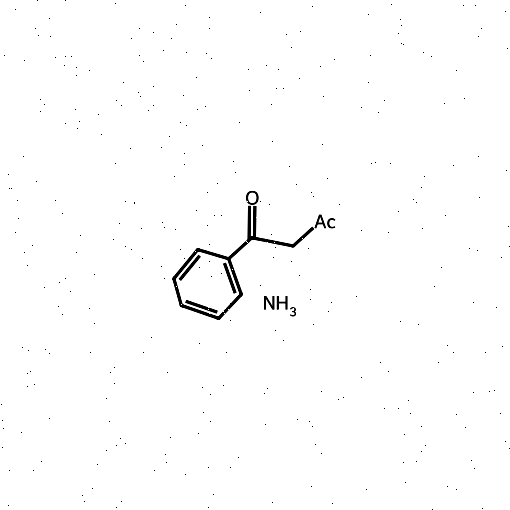 CC(=O)CC(=O)c1ccccc1.N